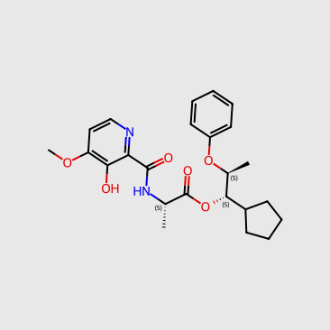 COc1ccnc(C(=O)N[C@@H](C)C(=O)O[C@@H](C2CCCC2)[C@H](C)Oc2ccccc2)c1O